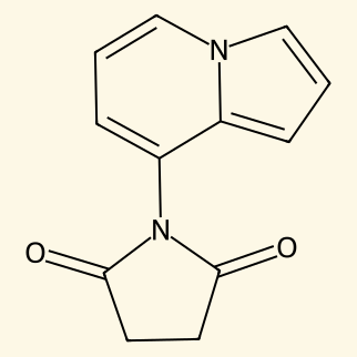 O=C1CCC(=O)N1c1cccn2cccc12